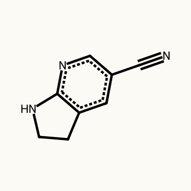 N#Cc1cnc2c(c1)CCN2